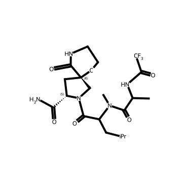 CC(C)CC(C(=O)N1C[C@@]2(CCCNC2=O)C[C@H]1C(N)=O)N(C)C(=O)C(C)NC(=O)C(F)(F)F